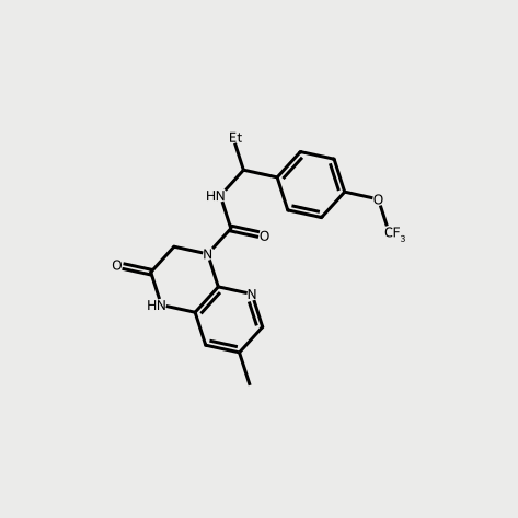 CCC(NC(=O)N1CC(=O)Nc2cc(C)cnc21)c1ccc(OC(F)(F)F)cc1